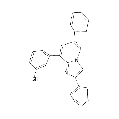 Sc1cccc(-c2cc(-c3ccccc3)cn3cc(-c4ccccc4)nc23)c1